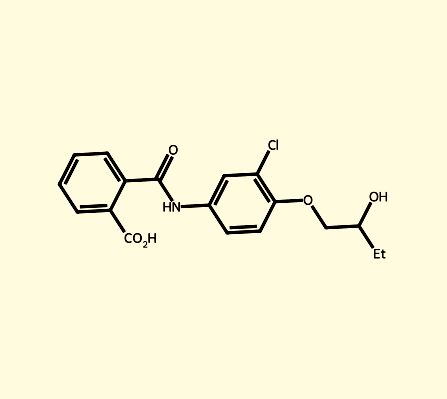 CCC(O)COc1ccc(NC(=O)c2ccccc2C(=O)O)cc1Cl